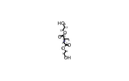 C/C(=C\C(=O)OCCO)C(=O)OCCO